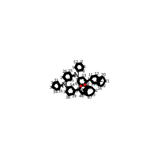 c1ccc(N(c2cccc(-c3ccc4c(c3)C3CCCC4CC3)c2)c2cccc(N(c3ccccc3)c3cccc(-c4ccc5c(c4)C4CCCC5CC4)c3)c2)cc1